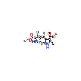 CCOC(=O)c1[nH]c2cc3[nH]c(C)c(C(=O)OC)c3c(C)c2c1C